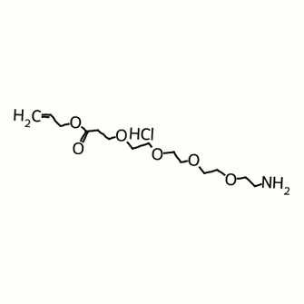 C=CCOC(=O)CCOCCOCCOCCOCCN.Cl